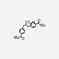 CC(C)(C)C(=O)c1ccc(CC(Cc2ccc(C(=O)C(C)(C)C)cc2)C(=O)O)cc1